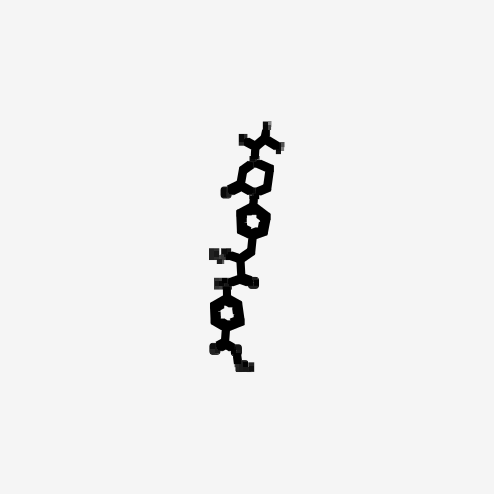 CC(C)(C)OC(=O)c1ccc(NC(=O)C(N)Cc2ccc(N3CCN(C(F)C(F)F)CC3=O)cc2)cc1